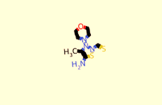 CC1=C(N)SN(C=S)N1N1CCOCC1